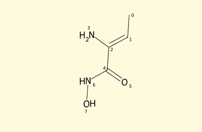 CC=C(N)C(=O)NO